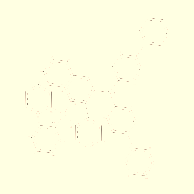 c1ccc(-c2ccc(N(c3ccc(-c4ccccc4)cc3)c3cc4ccccc4c4c3-c3ccccc3[Si]4(c3ccccc3)c3ccccc3)cc2)cc1